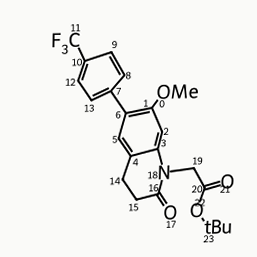 COc1cc2c(cc1-c1ccc(C(F)(F)F)cc1)CCC(=O)N2CC(=O)OC(C)(C)C